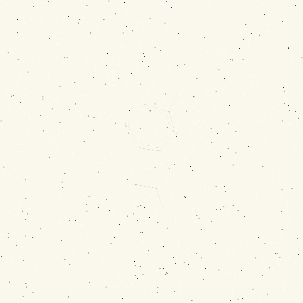 CC(C)=Cc1cncc(C)n1